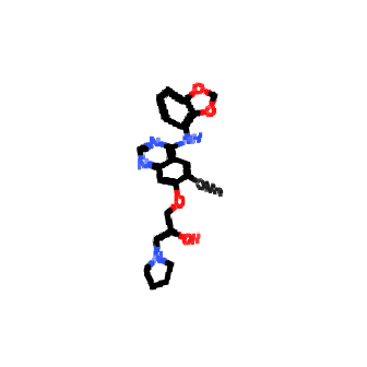 COc1cc2c(Nc3cccc4c3OCO4)ncnc2cc1OCC(O)CN1CCCC1